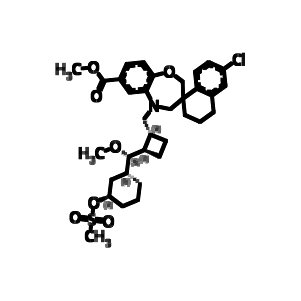 COC(=O)c1ccc2c(c1)N(C[C@@H]1CC[C@H]1[C@@H](OC)[C@@H]1CCC[C@@H](OS(C)(=O)=O)C1)CC1(CCCc3cc(Cl)ccc31)CO2